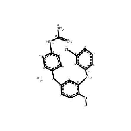 COc1ccc(Cc2ccc(NC(N)=O)nc2)cc1Oc1cccc(Cl)c1.Cl